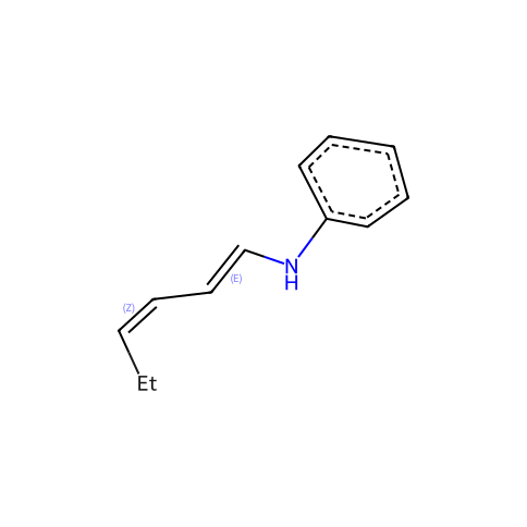 CC/C=C\C=C\Nc1ccccc1